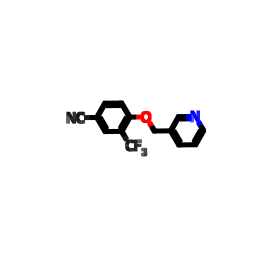 N#Cc1ccc(OCc2cccnc2)c(C(F)(F)F)c1